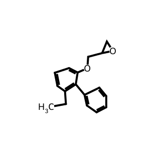 CCc1cccc(OCC2CO2)c1-c1ccccc1